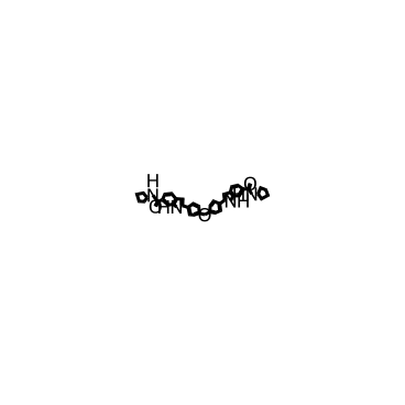 O=C(NC1CCCC1)c1ccc2cc(-c3ccc(Oc4ccc(-c5cc6ccc(C(=O)NC7CCCC7)cc6[nH]5)cc4)cc3)[nH]c2c1